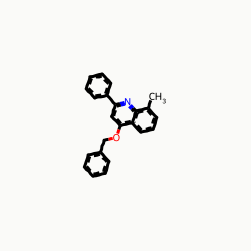 Cc1cccc2c(OCc3ccccc3)cc(-c3ccccc3)nc12